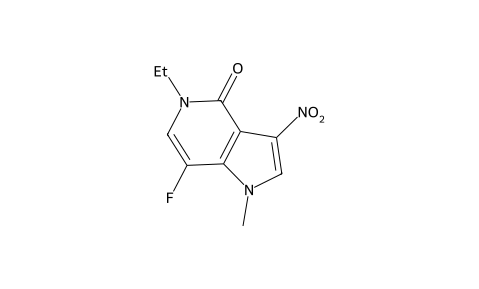 CCn1cc(F)c2c(c([N+](=O)[O-])cn2C)c1=O